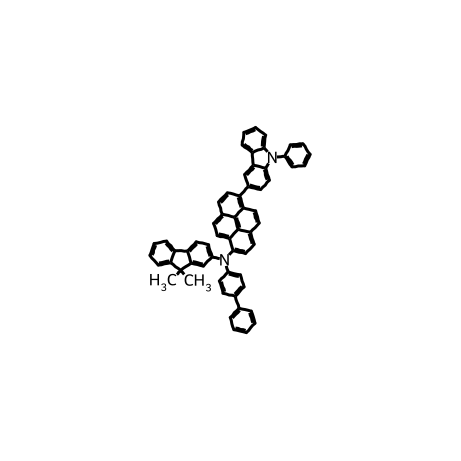 CC1(C)c2ccccc2-c2ccc(N(c3ccc(-c4ccccc4)cc3)c3ccc4ccc5c(-c6ccc7c(c6)c6ccccc6n7-c6ccccc6)ccc6ccc3c4c65)cc21